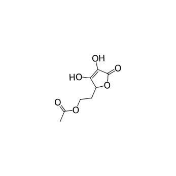 CC(=O)OCCC1OC(=O)C(O)=C1O